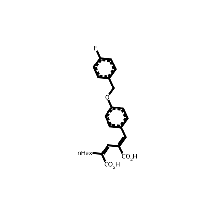 CCCCCCC(=CC(=Cc1ccc(OCc2ccc(F)cc2)cc1)C(=O)O)C(=O)O